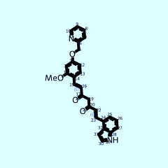 COc1cc(OCc2ccccn2)ccc1/C=C/C(=O)CC(=O)/C=C/c1cccc2[nH]ccc12